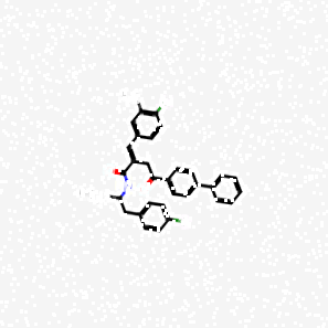 O=C(NC(Cc1ccc(Cl)cc1)C(=O)O)C(=Cc1ccc(Cl)c(C(F)(F)F)c1)CC(=O)c1ccc(-c2ccccc2)cc1